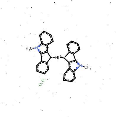 Cn1c2c(c3ccccc31)[CH]([Hf+2][CH]1c3ccccc3-c3c1c1ccccc1n3C)c1ccccc1-2.[Cl-].[Cl-]